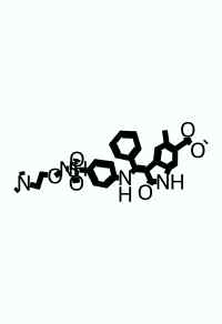 COC(=O)c1cc2c(cc1C)/C(=C(/Nc1ccc(S(=O)(=O)NOCCN(C)C)cc1)c1ccccc1)C(=O)N2